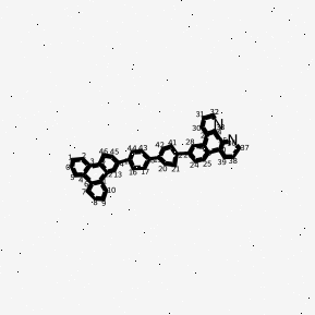 c1ccc2c(c1)c1ccccc1c1cc(-c3ccc(-c4ccc(-c5ccc6c(c5)c5cccnc5c5ncccc65)cc4)cc3)ccc21